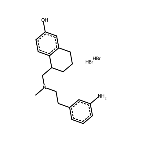 Br.Br.CN(CCc1cccc(N)c1)CC1CCCc2cc(O)ccc21